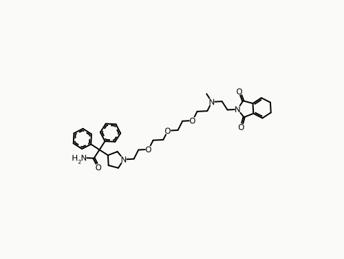 CN(CCOCCOCCOCCN1CCC(C(C(N)=O)(c2ccccc2)c2ccccc2)C1)CCN1C(=O)C2=CCCC=C2C1=O